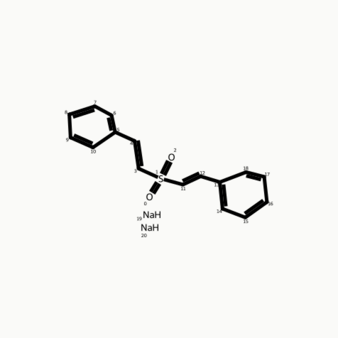 O=S(=O)(C=Cc1ccccc1)C=Cc1ccccc1.[NaH].[NaH]